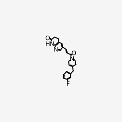 O=C1CCc2cc(C=CC(=O)N3CC=C(Cc4cccc(F)c4)CC3)cnc2N1